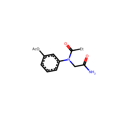 CCC(=O)N(CC(N)=O)c1cccc(OC(C)=O)c1